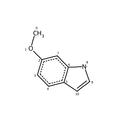 COc1ccc2c(c1)[N]C=C2